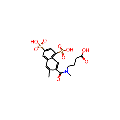 Cc1cc2cc(S(=O)(=O)O)cc(S(=O)(=O)O)c2cc1C(=O)N(C)CCCC(=O)O